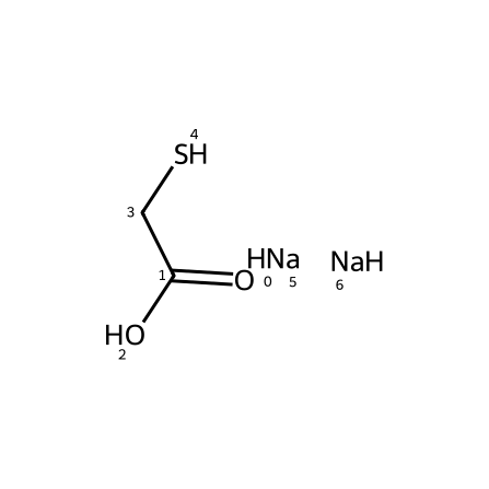 O=C(O)CS.[NaH].[NaH]